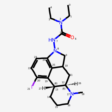 CCN(CC)C(=O)NN1CC2C[C@@H]3[C@H](CCCN3C)c3c(I)ccc1c32